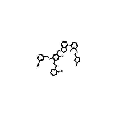 CN1CCC(COc2cccc(-c3cccc4c3CC[C@@H]4Oc3cc(OCc4cncc(C#N)c4)c(CN[C@@H]4CCCC[C@@H]4O)cc3Cl)c2Cl)C1